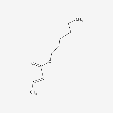 CC=CC(=O)OCCC[CH]CC